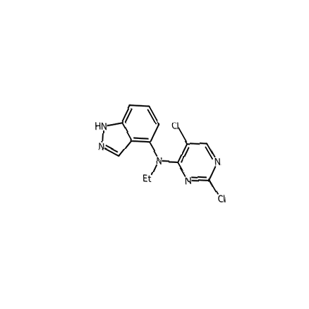 CCN(c1nc(Cl)ncc1Cl)c1cccc2[nH]ncc12